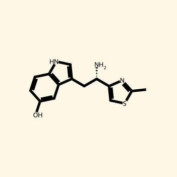 Cc1nc([C@@H](N)Cc2c[nH]c3ccc(O)cc23)cs1